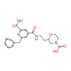 CNC(=O)c1cc(C(=O)NCCC2CN(C(=O)O)CCO2)cc(Cc2ccccc2)n1